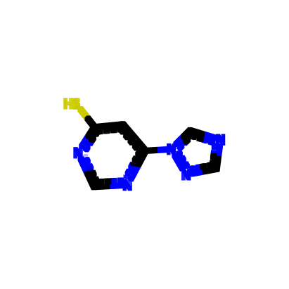 Sc1cc(-n2cncn2)ncn1